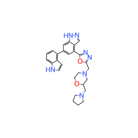 c1cc(-c2cc(-c3nnc(CN4CCOC(CN5CCCC5)C4)o3)c3cn[nH]c3c2)c2cc[nH]c2c1